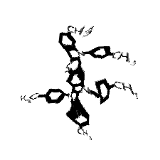 Cc1ccc(-n2c3cc(C)ccc3c3sc4cc5c(cc4c32)n(-c2ccc(C)cc2)c2c3ccc(C)cc3n(-c3ccc(C)cc3)c52)cc1